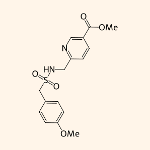 COC(=O)c1ccc(CNS(=O)(=O)Cc2ccc(OC)cc2)nc1